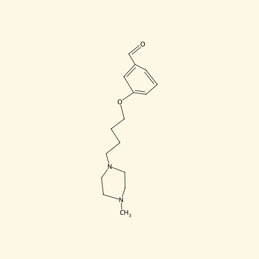 CN1CCN(CCCCOc2cccc(C=O)c2)CC1